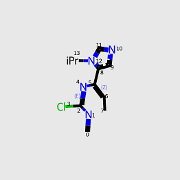 C=N/C(Cl)=N\C(=C/C)c1cncn1C(C)C